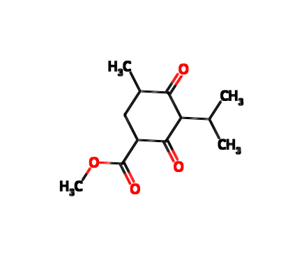 COC(=O)C1CC(C)C(=O)C(C(C)C)C1=O